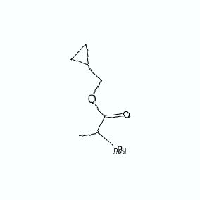 CCCCC(C)C(=O)OCC1CC1